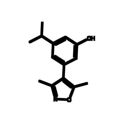 Cc1noc(C)c1-c1cc(O)cc(C(C)C)c1